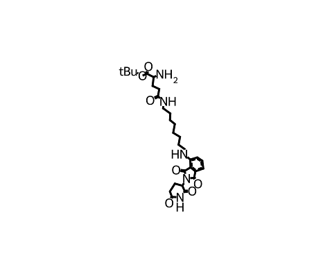 CC(C)(C)OC(=O)C(N)CCC(=O)NCCCCCCCCNc1cccc2c1C(=O)N(C1CCC(=O)NC1=O)C2=O